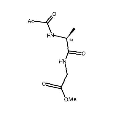 COC(=O)CNC(=O)[C@H](C)NC(=O)C(C)=O